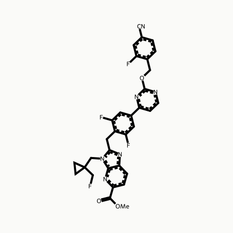 COC(=O)c1ccc2nc(Cc3c(F)cc(-c4ccnc(OCc5ccc(C#N)cc5F)n4)cc3F)n(CC3(CF)CC3)c2n1